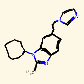 Cc1nc2ccc(Cn3ccnc3)cc2n1C1CCCCC1